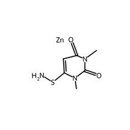 Cn1c(SN)cc(=O)n(C)c1=O.[Zn]